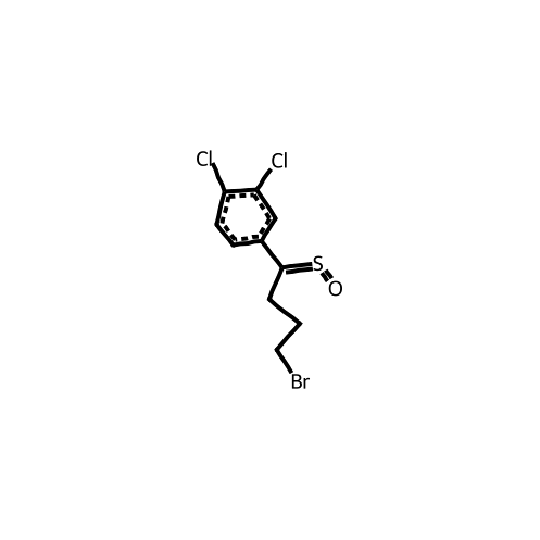 O=S=C(CCCBr)c1ccc(Cl)c(Cl)c1